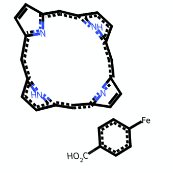 C1=Cc2cc3ccc(cc4nc(cc5ccc(cc1n2)[nH]5)C=C4)[nH]3.O=C(O)c1cc[c]([Fe])cc1